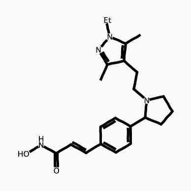 CCn1nc(C)c(CCN2CCCC2c2ccc(C=CC(=O)NO)cc2)c1C